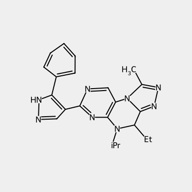 CCC1c2nnc(C)n2-c2cnc(-c3cn[nH]c3-c3ccccc3)nc2N1C(C)C